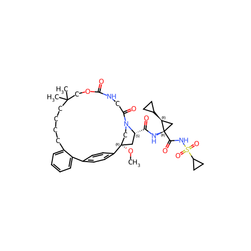 CO[C@@]12C[C@@H](C(=O)N[C@]3(C(=O)NS(=O)(=O)C4CC4)C[C@@H]3C3CC3)N(C1)C(=O)CNC(=O)OCC(C)(C)CCCCc1ccccc1-c1ccc2cc1